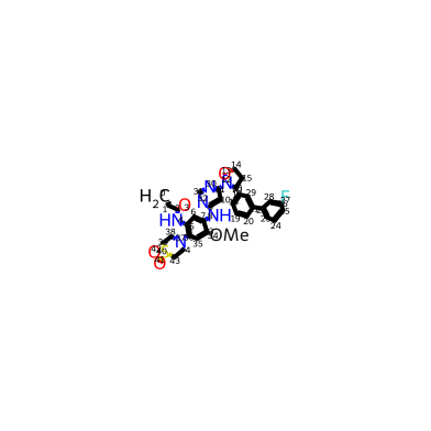 C=CC(=O)Nc1cc(Nc2cc(N3OCC[C@@H]3c3cccc(-c4cccc(F)c4)c3)ncn2)c(OC)cc1N1CCS(=O)(=O)CC1